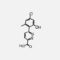 Cc1cc(Cl)cc(O)c1-c1ccc(C(=O)O)nn1